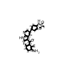 CS(=O)(=O)Nc1ccc(-c2cnc3[nH]cc(C(=O)c4c(F)ccc(N)c4F)c3c2)cc1